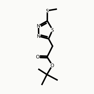 CSc1nnc(CC(=O)OC(C)(C)C)s1